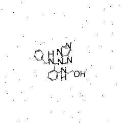 OCCNc1ccccc1C(NCc1ccccc1)n1cnc2cncnc21